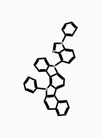 c1ccc(-n2cnc3c(-n4c5ccccc5c5c4ccc4c6c7ccccc7ccc6n(-c6ccccc6)c45)cccc32)cc1